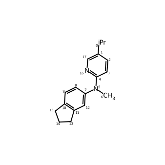 CC(C)c1ccc(N(C)c2ccc3c(c2)CCC3)nc1